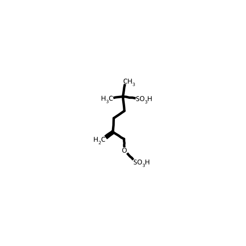 C=C(CCC(C)(C)S(=O)(=O)O)COS(=O)(=O)O